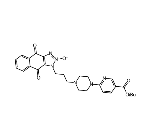 CC(C)COC(=O)c1ccc(N2CCN(CCCn3c4c(n[n+]3[O-])C(=O)c3ccccc3C4=O)CC2)nc1